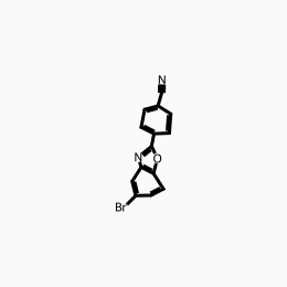 N#Cc1ccc(-c2nc3cc(Br)ccc3o2)cc1